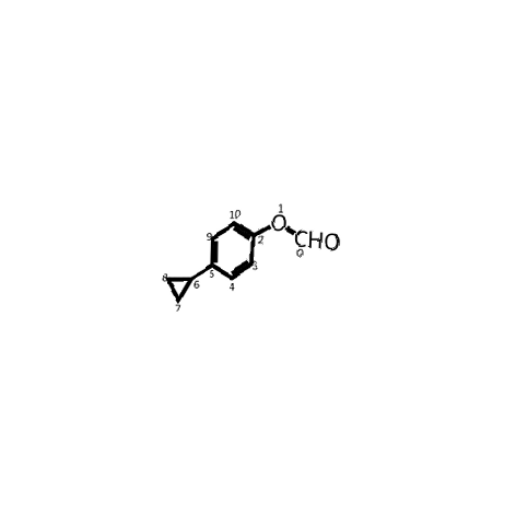 O=COc1ccc(C2CC2)cc1